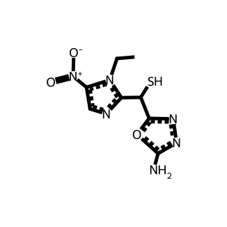 CCn1c([N+](=O)[O-])cnc1C(S)c1nnc(N)o1